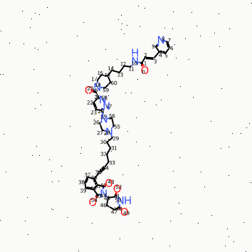 O=C(/C=C/c1cccnc1)NCCCCC1CCN(C(=O)c2ccc(N3CCN(CCCCCC#Cc4cccc5c4C(=O)N(C4CCC(=O)NC4=O)C5=O)CC3)nn2)CC1